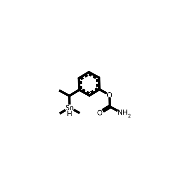 C[CH](c1cccc(OC(N)=O)c1)[SnH]([CH3])[CH3]